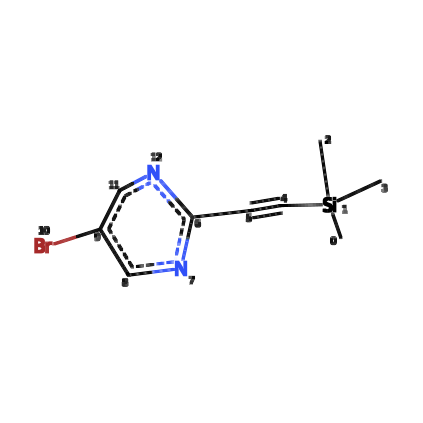 C[Si](C)(C)C#Cc1ncc(Br)cn1